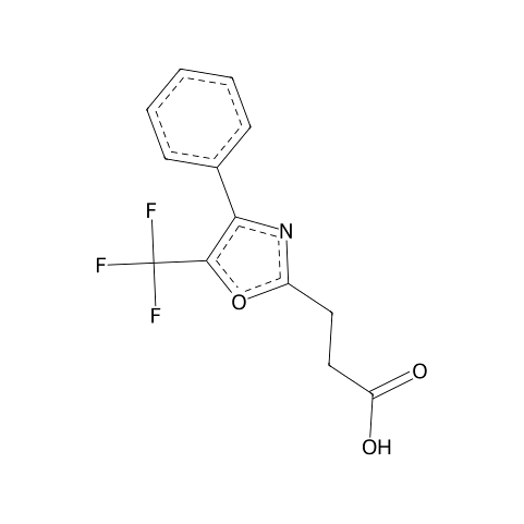 O=C(O)CCc1nc(-c2ccccc2)c(C(F)(F)F)o1